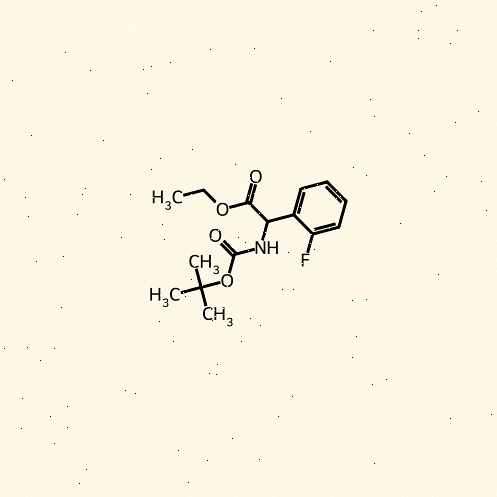 CCOC(=O)C(NC(=O)OC(C)(C)C)c1ccccc1F